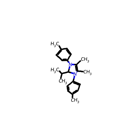 CC1=C(C)N(c2ccc(C)cc2)C(C(C)C)N1c1ccc(C)cc1